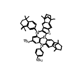 CC(C)(C)c1ccc(N2c3cc4c(cc3B3c5sc6cc7c(cc6c5N(c5ccc6c(c5)C(C)(C)CCC6(C)C)c5cc(C(C)(C)C)cc2c53)C2(C)CCC7(C)C2)C2(C)CCC4(C)C2)cc1